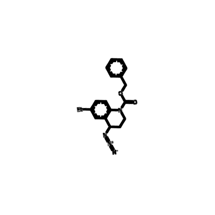 CCc1ccc2c(c1)C(N=[N+]=[N-])CCN2C(=O)OCc1ccccc1